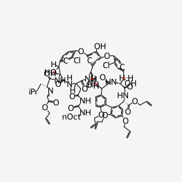 C=CCOC(=O)/C=N/[C@H](CC(C)C)C(=O)N[C@H]1C(=O)N[C@@H](CC(=O)NC(=O)NCCCCCCCC)C(=O)N[C@H]2C(=O)N[C@H]3C(=O)N[C@H](C(=O)N[C@H](C(=O)OCC=C)c4cc(OCC=C)cc(OCC=C)c4-c4cc3ccc4OCC=C)[C@H](O)c3ccc(c(Cl)c3)Oc3cc2cc(c3O)Oc2ccc(cc2Cl)[C@H]1O